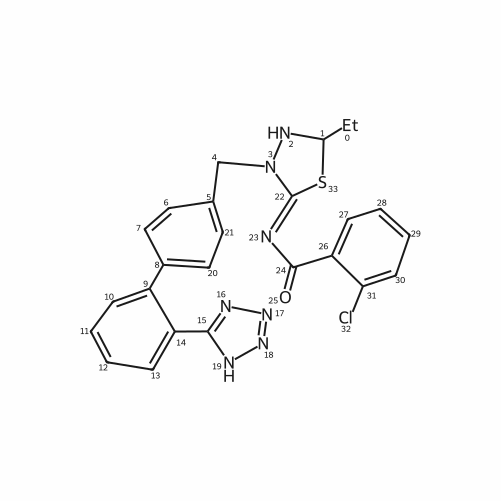 CCC1NN(Cc2ccc(-c3ccccc3-c3nnn[nH]3)cc2)C(=NC(=O)c2ccccc2Cl)S1